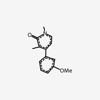 COc1cccc(-c2ccn(C)c(=O)c2C)c1